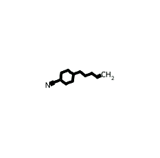 C=CCCCC1CCC(C#N)CC1